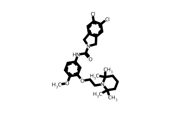 COc1ccc(NC(=O)N2Cc3cc(Cl)c(Cl)cc3C2)cc1OCCN1C(C)(C)CCCC1(C)C